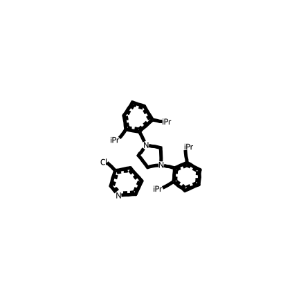 CC(C)c1cccc(C(C)C)c1N1CCN(c2c(C(C)C)cccc2C(C)C)C1.Clc1cccnc1